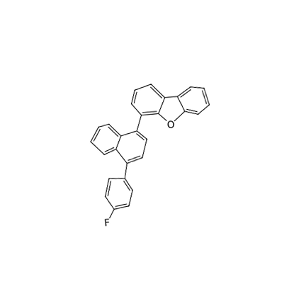 Fc1ccc(-c2ccc(-c3cccc4c3oc3ccccc34)c3ccccc23)cc1